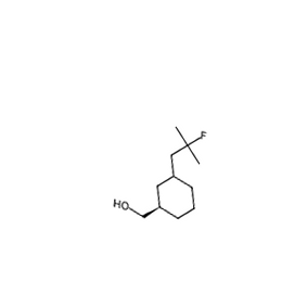 CC(C)(F)CC1CCC[C@@H](CO)C1